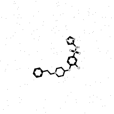 O=S(=O)(Nc1cscn1)c1ccc(OC2CCN(CCc3ccccc3)CC2)c(Cl)c1